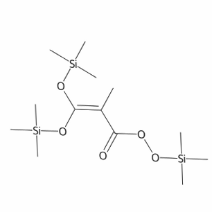 CC(C(=O)OO[Si](C)(C)C)=C(O[Si](C)(C)C)O[Si](C)(C)C